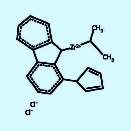 C[CH](C)[Zr+2][CH]1c2ccccc2-c2cccc(C3C=CC=C3)c21.[Cl-].[Cl-]